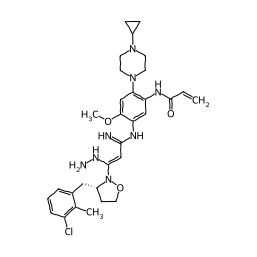 C=CC(=O)Nc1cc(NC(=N)/C=C(\NN)N2OCC[C@@H]2Cc2cccc(Cl)c2C)c(OC)cc1N1CCN(C2CC2)CC1